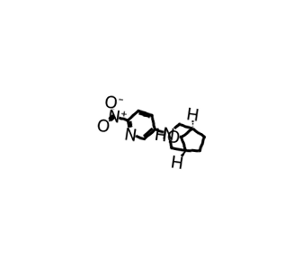 O=[N+]([O-])c1ccc(N2C[C@H]3CC[C@H](C2)C3O)cn1